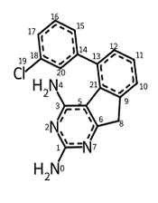 Nc1nc(N)c2c(n1)Cc1cccc(-c3cccc(Cl)c3)c1-2